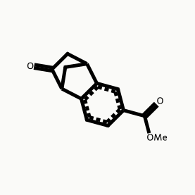 COC(=O)c1ccc2c(c1)C1CC(=O)C2C1